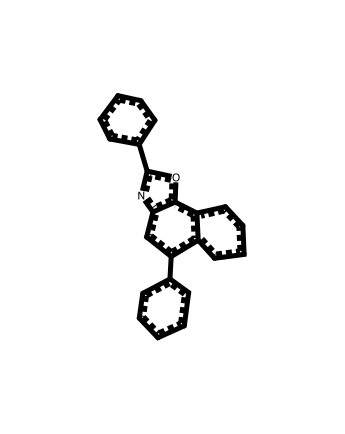 c1ccc(-c2nc3cc(-c4ccccc4)c4ccccc4c3o2)cc1